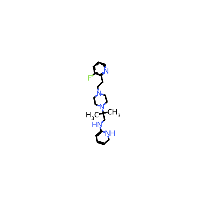 CC(C)(CNC1=CC=CCN1)N1CCN(CCc2ncccc2F)CC1